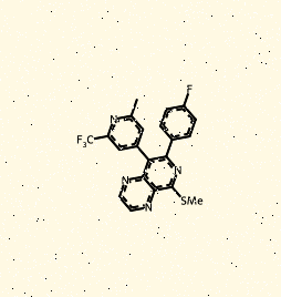 CSc1nc(-c2ccc(F)cc2)c(-c2cc(C)nc(C(F)(F)F)c2)c2nccnc12